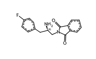 N[C@H](Cc1ccc(F)cc1)CN1C(=O)c2ccccc2C1=O